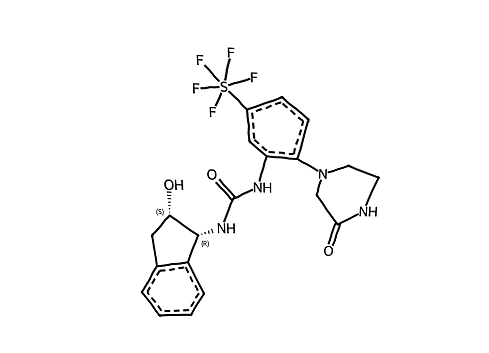 O=C1CN(c2ccc(S(F)(F)(F)(F)F)cc2NC(=O)N[C@@H]2c3ccccc3C[C@@H]2O)CCN1